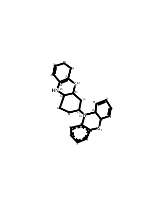 C1=CC2Sc3ccccc3N(C3CCC4NC5=C(CCC=C5)SC4C3)C2C=C1